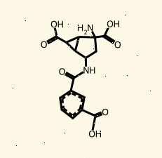 NC1(C(=O)O)CC(NC(=O)c2cccc(C(=O)O)c2)C2C(C(=O)O)C21